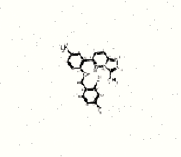 Cc1nnc2ccc(-c3cc(N)ccc3OCc3ccc(F)cc3F)nn12